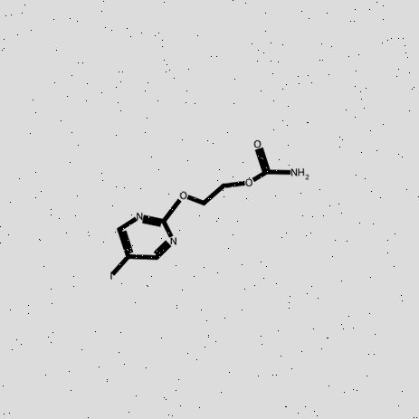 NC(=O)OCCOc1ncc(I)cn1